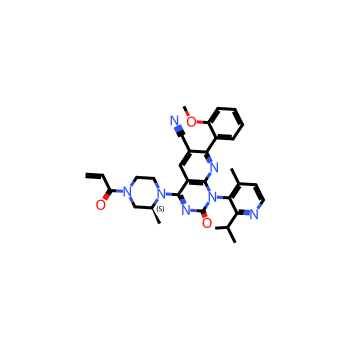 C=CC(=O)N1CCN(c2nc(=O)n(-c3c(C)ccnc3C(C)C)c3nc(-c4ccccc4OC)c(C#N)cc23)[C@@H](C)C1